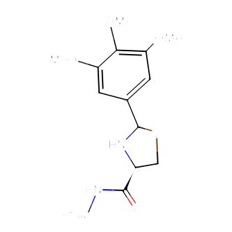 CCCCCCCCCCNC(=O)[C@@H]1CSC(c2cc(OC)c(OC)c(OC)c2)N1